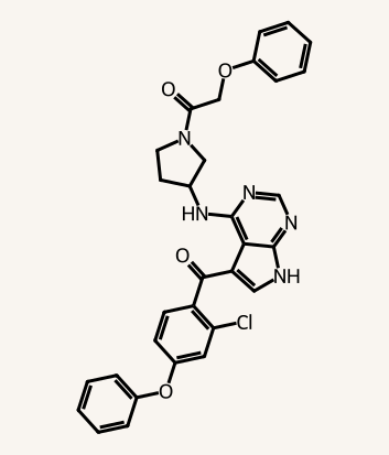 O=C(c1ccc(Oc2ccccc2)cc1Cl)c1c[nH]c2ncnc(NC3CCN(C(=O)COc4ccccc4)C3)c12